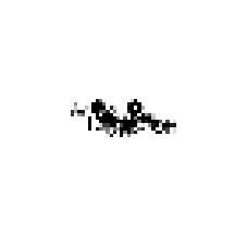 CC(=O)c1ccc[n+]([C@@H]2O[C@H](COP(=O)(NCc3ccccc3)OCSC(=O)C(C)(C)CO)[C@H](O)C2O)c1